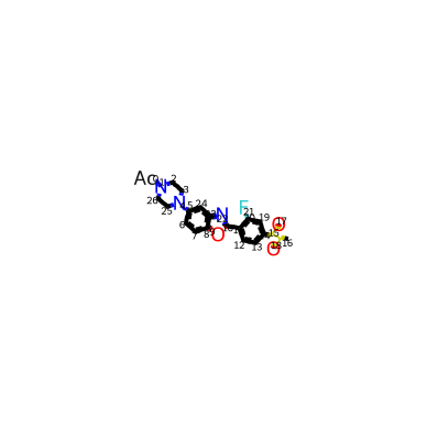 CC(=O)N1CCN(c2ccc3oc(-c4ccc(S(C)(=O)=O)cc4F)nc3c2)CC1